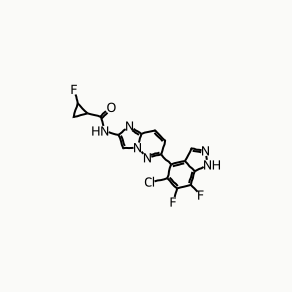 O=C(Nc1cn2nc(-c3c(Cl)c(F)c(F)c4[nH]ncc34)ccc2n1)C1CC1F